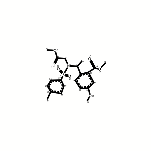 COC(=O)CN(C(C)c1c[c]c(OC)cc1C(=O)OC)S(=O)(=O)c1ccc(C)cc1